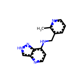 Cc1ncccc1CNc1ccnc2c[nH]nc12